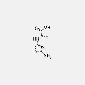 Nc1nc(NC(=O)C(=O)O)cs1